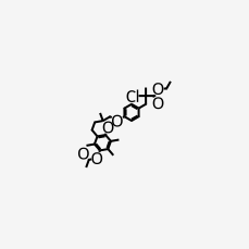 CCOC(=O)C(C)(Cl)Cc1ccc(OCC2(C)CCc3c(C)c(OC(C)=O)c(C)c(C)c3O2)cc1